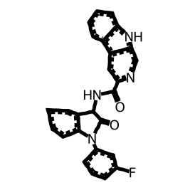 O=C(NC1C(=O)N(c2cccc(F)c2)c2ccccc21)c1cc2c(cn1)[nH]c1ccccc12